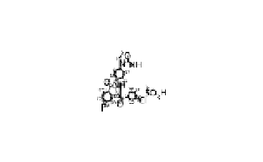 CS(=O)(=O)O.N=C1OCCN1c1ccc(NC(=O)c2ccc(F)cc2NC(=O)c2ccc(Cl)s2)cc1